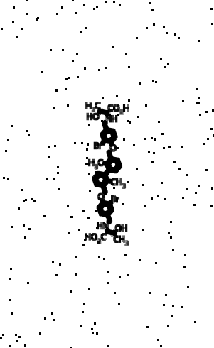 Cc1c(COc2ccc(CN[C@@H](C(=O)O)[C@H](C)O)cc2Br)cccc1-c1cccc(COc2ccc(CN[C@@H](C(=O)O)[C@H](C)O)cc2Br)c1C